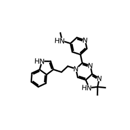 CNc1cncc(C2=NC3=NC(C)(C)NC3=CN2CCc2c[nH]c3ccccc23)c1